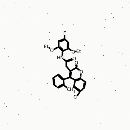 CCOc1cc(F)cc(OCC)c1NC(=O)Cc1c(-c2ccccc2C)c2cc(Cl)ccc2oc1=O